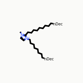 CCCCCCCCCCCCCCCCCCCc1n(C)cc[n+]1CCCCCCCCCCCCCCCCCC